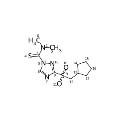 CN(C)C(=S)n1cnc(S(=O)(=O)CC2CCCC2)n1